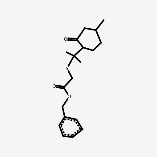 CC1CCC(C(C)(C)SCC(=O)OCc2ccccc2)C(=O)C1